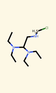 CCN(CC)C(CN[SiH2]Cl)N(CC)CC